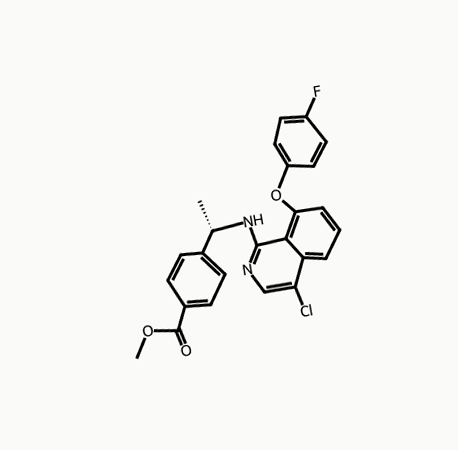 COC(=O)c1ccc([C@H](C)Nc2ncc(Cl)c3cccc(Oc4ccc(F)cc4)c23)cc1